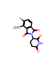 O=Cc1c(F)ccc2c1C(=O)N(C1CCC(=O)NC1=O)C2=O